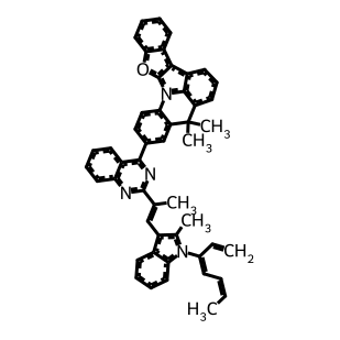 C=C/C(=C\C=C/C)n1c(C)c(/C=C(\C)c2nc(-c3ccc4c(c3)C(C)(C)c3cccc5c6c7ccccc7oc6n-4c35)c3ccccc3n2)c2ccccc21